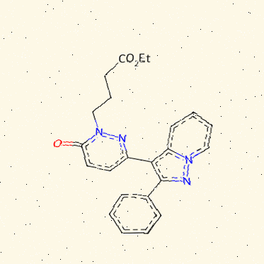 CCOC(=O)CCCn1nc(-c2c(-c3ccccc3)nn3ccccc23)ccc1=O